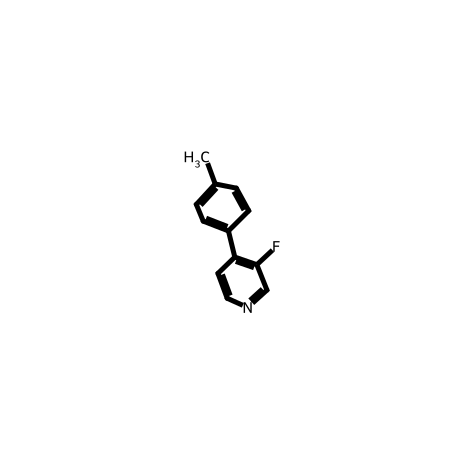 Cc1ccc(-c2ccncc2F)cc1